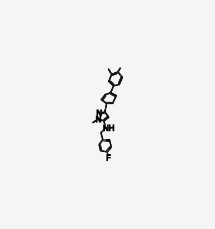 Cc1ccc(-c2ccc(-c3cc(NCc4ccc(F)cc4)n(C)n3)cc2)cc1C